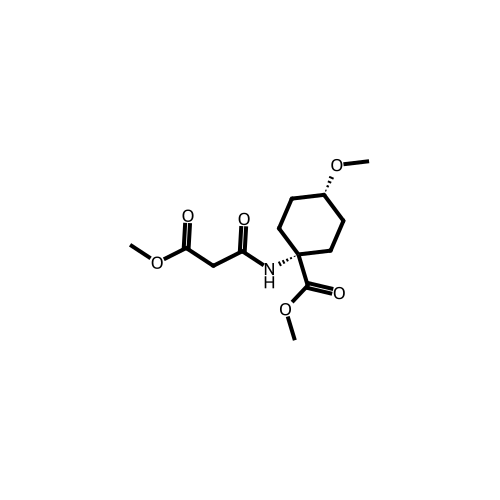 COC(=O)CC(=O)N[C@]1(C(=O)OC)CC[C@H](OC)CC1